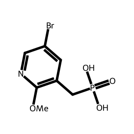 COc1ncc(Br)cc1CP(=O)(O)O